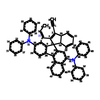 C#CC1=C(/C=C\C)C2(c3cc(N(c4ccccc4)c4ccccc4)ccc3-c3c2cc(N(c2ccccc2)c2ccccc2)c2ccccc32)C2C=CC=CC12